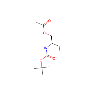 CC(=O)OC[C@@H](CI)NC(=O)OC(C)(C)C